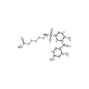 O=C(O)CCCCCNS(=O)(=O)c1ccc(Cl)c(C(=O)c2ccc(Cl)cc2Cl)c1